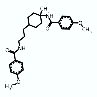 COc1ccc(C(=O)NCCCC2CCC(C)(NC(=O)c3ccc(OC)cc3)CC2)cc1